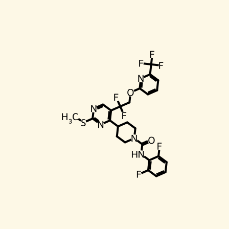 CSc1ncc(C(F)(F)COc2cccc(C(F)(F)F)n2)c(C2CCN(C(=O)Nc3c(F)cccc3F)CC2)n1